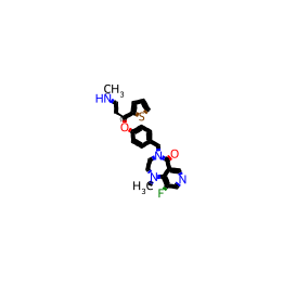 CNCC[C@H](Oc1ccc(CN2CCN(C)c3c(F)cncc3C2=O)cc1)c1cccs1